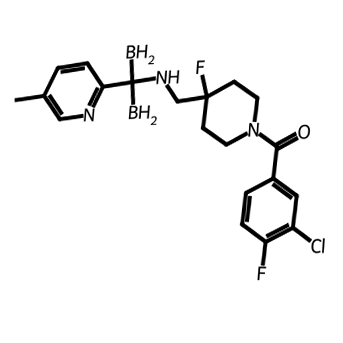 BC(B)(NCC1(F)CCN(C(=O)c2ccc(F)c(Cl)c2)CC1)c1ccc(C)cn1